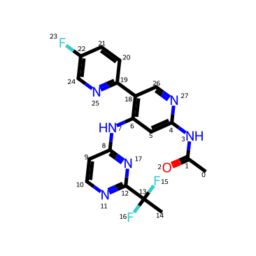 CC(=O)Nc1cc(Nc2ccnc(C(C)(F)F)n2)c(-c2ccc(F)cn2)cn1